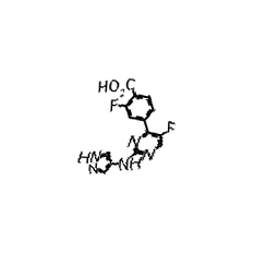 O=C(O)c1ccc(-c2nc(Nc3cn[nH]c3)ncc2F)cc1F